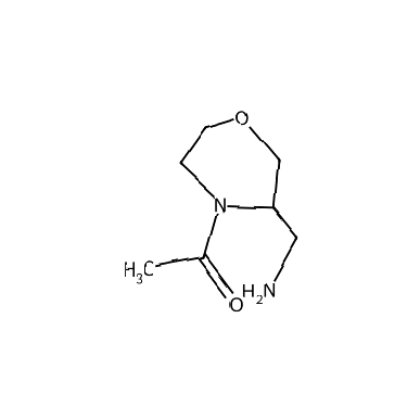 CC(=O)N1CCOCC1CN